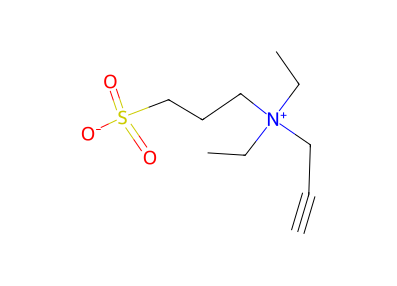 C#CC[N+](CC)(CC)CCCS(=O)(=O)[O-]